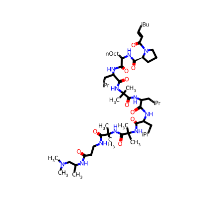 CCCCCCCCC(NC(=O)[C@@H]1CCCN1C(=O)/C=C/C(C)CC)C(=O)NC(CC(C)C)C(=O)NC(C)(C)C(=O)NC(CC(C)C)C(=O)NC(CC(C)C)C(=O)NC(C)(C)C(=O)NC(C)(C)C(=O)NCCC(=O)NC(C)CN(C)C